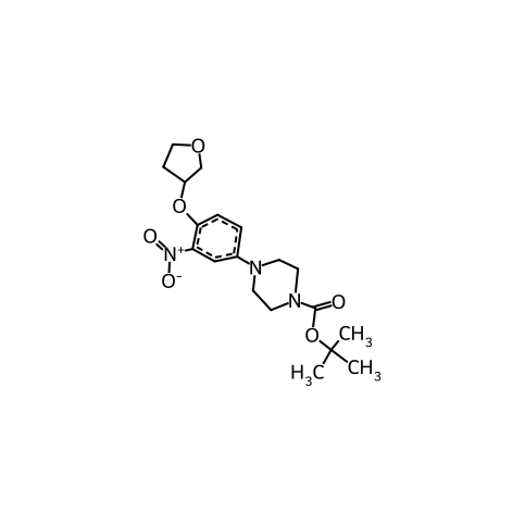 CC(C)(C)OC(=O)N1CCN(c2ccc(OC3CCOC3)c([N+](=O)[O-])c2)CC1